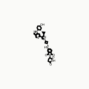 O=C1CCC(N2C(=O)c3ccc(NC[C@H]4C[C@H](n5cc(-c6cc7c(cn6)cnn7C6CCC(O)CC6)c(C6CC6)n5)C4)cc3C2=O)C(=O)N1